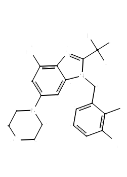 Cc1c(Cl)cccc1Cn1c(C(F)(F)F)nc2c(Br)cc(N3CCOCC3)cc21